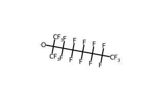 [O]C(C(F)(F)F)(C(F)(F)F)C(F)(F)C(F)(F)C(F)(F)C(F)(F)C(F)(F)C(F)(F)F